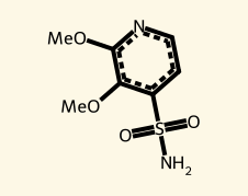 COc1nccc(S(N)(=O)=O)c1OC